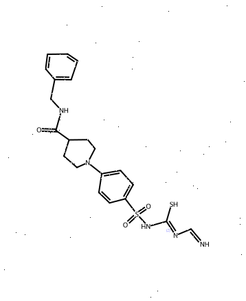 N=C/N=C(\S)NS(=O)(=O)c1ccc(N2CCC(C(=O)NCc3ccccc3)CC2)cc1